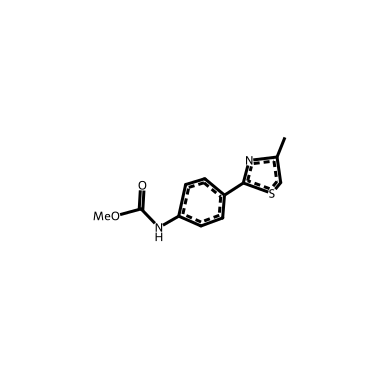 COC(=O)Nc1ccc(-c2nc(C)cs2)cc1